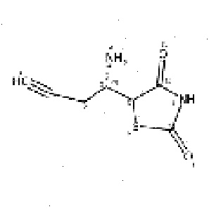 C#CC[C@H](N)C1SC(=O)NC1=O